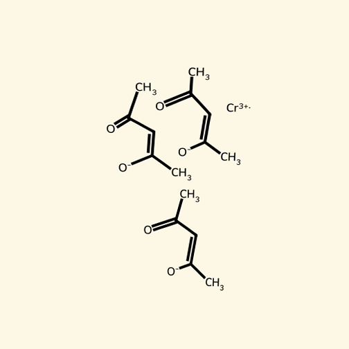 CC(=O)/C=C(/C)[O-].CC(=O)/C=C(/C)[O-].CC(=O)/C=C(/C)[O-].[Cr+3]